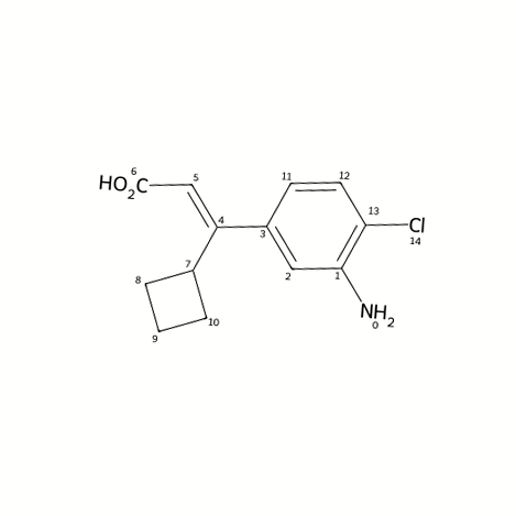 Nc1cc(C(=CC(=O)O)C2CCC2)ccc1Cl